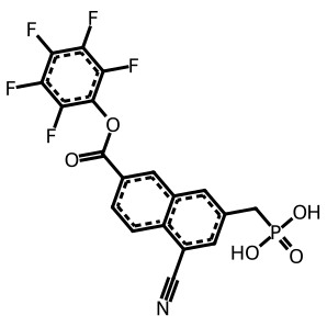 N#Cc1cc(CP(=O)(O)O)cc2cc(C(=O)Oc3c(F)c(F)c(F)c(F)c3F)ccc12